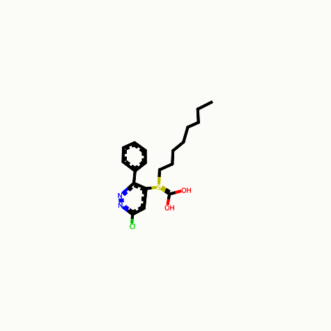 CCCCCCCCS(=C(O)O)c1cc(Cl)nnc1-c1ccccc1